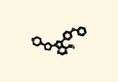 Nc1ncnc2c1c(-c1ccc(Oc3ccccc3)cc1)cn2C1CCC(N2CCOCC2)C1